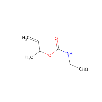 C=CC(C)OC(=O)NCC=O